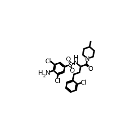 CC1CCN(C(=O)C(CCc2ccccc2Cl)NS(=O)(=O)c2cc(Cl)c(N)c(Cl)c2)CC1